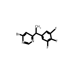 CC(c1cc(F)c(F)c(F)c1)c1cc(Br)ncn1